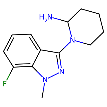 Cn1nc(N2CCCCC2N)c2cccc(F)c21